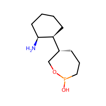 N[C@H]1CCCC[C@H]1[C@@H]1CCCP(O)OC1